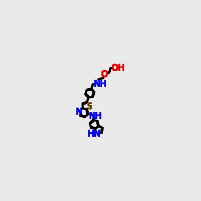 OCCOCCNCc1ccc(-c2cc3nccc(Nc4ccc5[nH]ccc5c4)c3s2)cc1